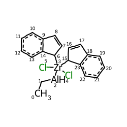 C[CH2][AlH][Zr]([Cl])([Cl])([CH]1C=Cc2ccccc21)[CH]1C=Cc2ccccc21